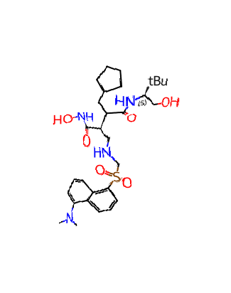 CN(C)c1cccc2c(S(=O)(=O)CNCC(C(=O)NO)C(CC3CCCC3)C(=O)N[C@H](CO)C(C)(C)C)cccc12